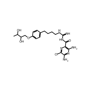 CC(O)C(O)COc1ccc(CCCCNC(=N)NC(=O)c2nc(Cl)c(N)nc2N)cc1